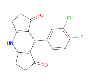 O=C1CCC2=C1C(c1ccc(F)c(Cl)c1)C1=C(CCC1=O)N2